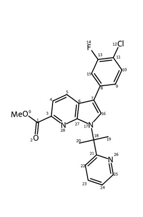 COC(=O)c1ccc2c(-c3ccc(Cl)c(F)c3)cn(C(C)(C)c3ccccn3)c2n1